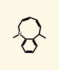 CC1/C=C\C=C/CN(C)c2ccccc21